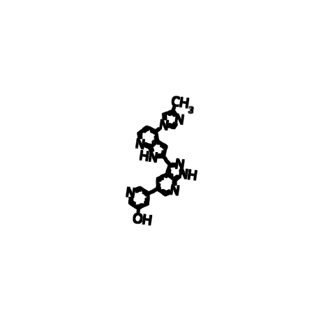 Cc1cn(-c2ccnc3[nH]c(-c4n[nH]c5ncc(-c6cncc(O)c6)cc45)cc23)cn1